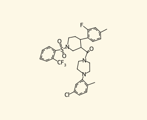 Cc1ccc(C2CCN(S(=O)(=O)c3ccccc3C(F)(F)F)CC2C(=O)N2CCN(c3cc(Cl)ccc3C)CC2)c(F)c1